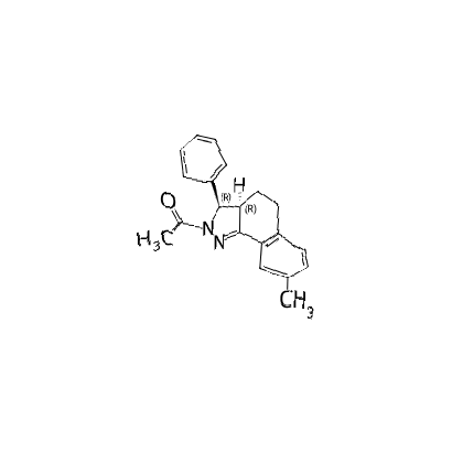 CC(=O)N1N=C2c3cc(C)ccc3CC[C@@H]2[C@@H]1c1ccccc1